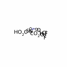 CC(Sc1cn(CC(=O)O)c2c(/C=C/c3ccc(OCCCCOc4cc(F)cc(F)c4Cl)cc3)cccc12)C(=O)O